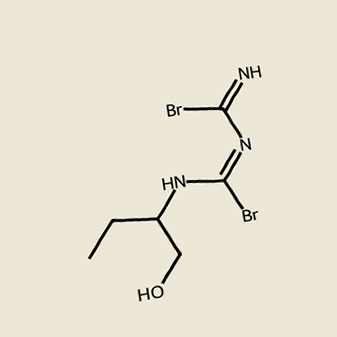 CCC(CO)N/C(Br)=N\C(=N)Br